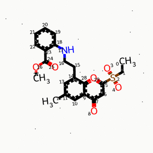 CCS(=O)(=O)c1cc(=O)c2cc(C)cc(CCNc3ccccc3C(=O)OC)c2o1